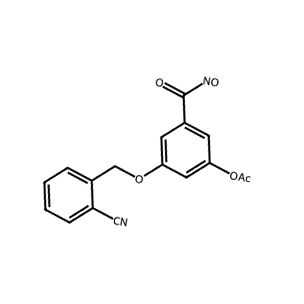 CC(=O)Oc1cc(OCc2ccccc2C#N)cc(C(=O)N=O)c1